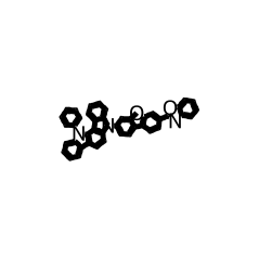 c1ccc(-n2c3ccccc3c3ccc4c(c5ccccc5n4-c4ccc5c(c4)oc4cc(-c6nc7ccccc7o6)ccc45)c32)cc1